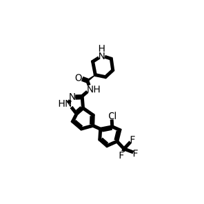 O=C(Nc1n[nH]c2ccc(-c3ccc(C(F)(F)F)cc3Cl)cc12)[C@@H]1CCCNC1